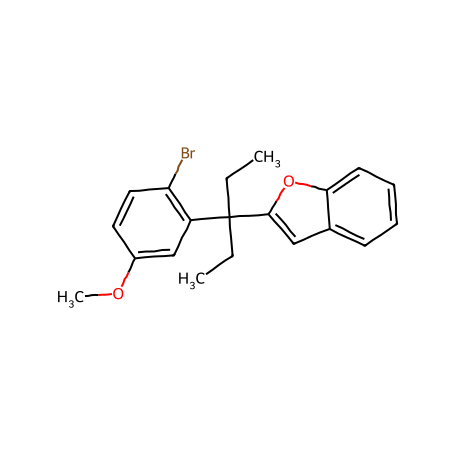 CCC(CC)(c1cc2ccccc2o1)c1cc(OC)ccc1Br